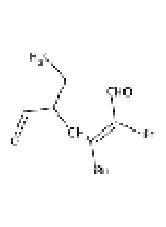 CCC(C)/C=C(/C=O)C(C)C.CCC(C)C=O